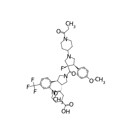 CCC(=O)N1CCC(N2C[C@@H](c3ccc(OC)cc3)[C@](F)(C(=O)N3C[C@H](COC)[C@@H](c4ccc(C(F)(F)F)cc4N4CCC(C(=O)O)CC4)C3)C2)CC1